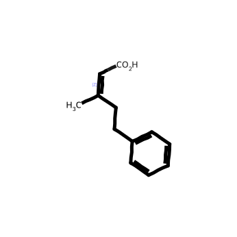 C/C(=C/C(=O)O)CCc1ccccc1